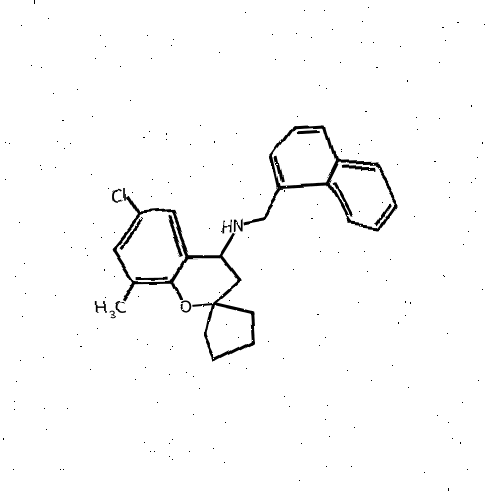 Cc1cc(Cl)cc2c1OC1(CCCC1)CC2NCc1cccc2ccccc12